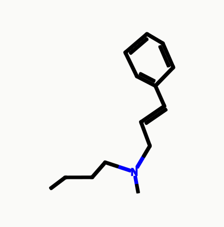 CCCCN(C)C/C=C/c1ccccc1